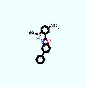 CCCC[AsH]c1ccc([N+](=O)[O-])cc1-c1nc2cc(-c3ccccc3)ccc2o1